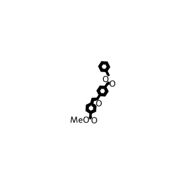 COC(=O)c1ccc2cc(-c3ccc(C(=O)OCc4ccccc4)cc3)oc2c1